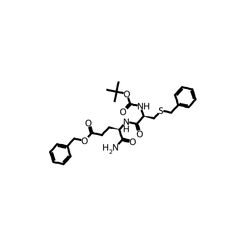 CC(C)(C)OC(=O)N[C@@H](CSCc1ccccc1)C(=O)N[C@H](CCC(=O)OCc1ccccc1)C(N)=O